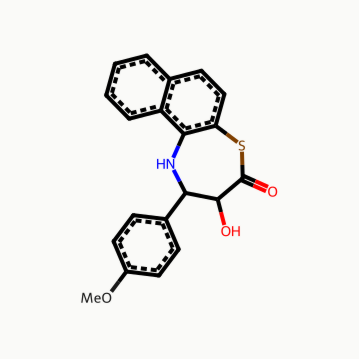 COc1ccc(C2Nc3c(ccc4ccccc34)SC(=O)C2O)cc1